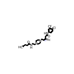 C#CCCC(=O)NCCN1CCN(C/C=C(\CC(=O)Nc2ccc(Cl)c(C(F)(F)F)c2)C(C)=O)CC1